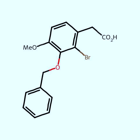 COc1ccc(CC(=O)O)c(Br)c1OCc1ccccc1